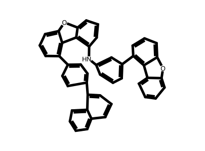 c1cc(Nc2cccc3oc4cccc(-c5ccc(-c6cccc7ccccc67)cc5)c4c23)cc(-c2cccc3oc4ccccc4c23)c1